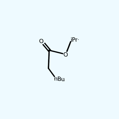 CCCCCC(=O)O[C](C)C